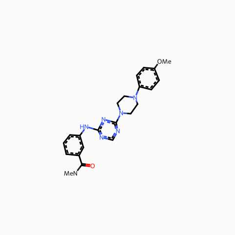 CNC(=O)c1cccc(Nc2ncnc(N3CCN(c4ccc(OC)cc4)CC3)n2)c1